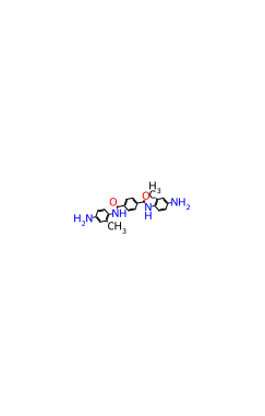 Cc1cc(N)ccc1NC(=O)c1ccc(C(=O)Nc2ccc(N)cc2C)cc1